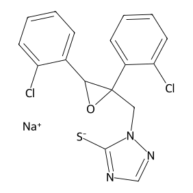 [Na+].[S-]c1ncnn1CC1(c2ccccc2Cl)OC1c1ccccc1Cl